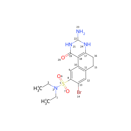 CCN(CC)S(=O)(=O)c1cc2c(cc1Br)CCC1=C2C(=O)NC(N)N1